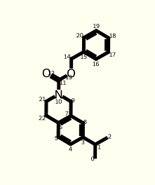 CC(C)c1ccc2c(c1)CN(C(=O)OCc1ccccc1)CC2